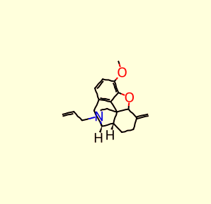 C=CCN1CCC23c4c5ccc(OC)c4OC2C(=C)CC[C@@H]3[C@@H]1C5